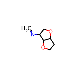 C=N[C@H]1COC2CCOC21